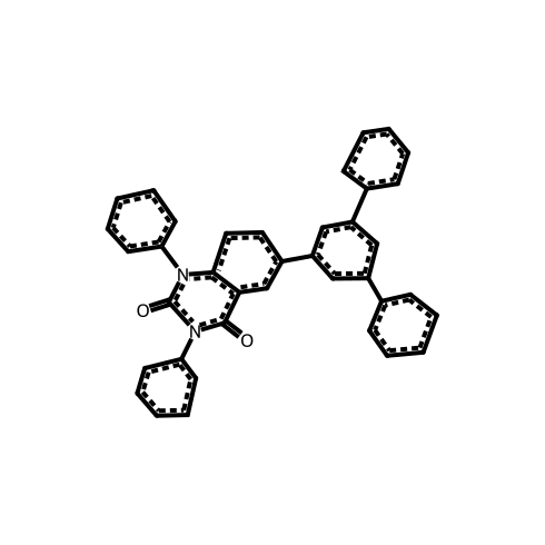 O=c1c2cc(-c3cc(-c4ccccc4)cc(-c4ccccc4)c3)ccc2n(-c2ccccc2)c(=O)n1-c1ccccc1